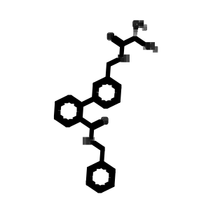 C[C@H](N)C(=O)NCc1cccc(-c2ccccc2C(=O)NCc2ccccc2)c1